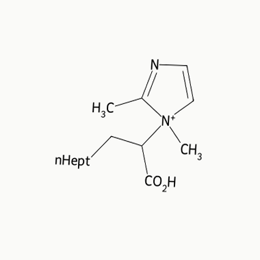 CCCCCCCCC(C(=O)O)[N+]1(C)C=CN=C1C